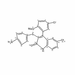 COc1ccc(Cl)cc1-c1c(Sc2ccc(N)cc2)c(=O)[nH]c2ccc(C(F)(F)F)cc12